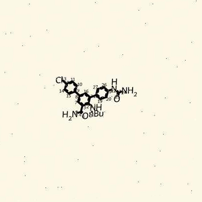 CCCCNc1c(C(N)=O)cc(-c2ccc(Cl)cc2)cc1-c1ccc(NC(N)=O)cc1